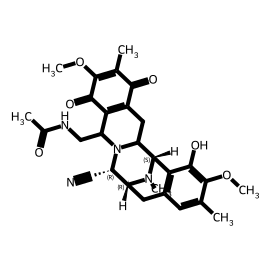 COC1=C(C)C(=O)C2=C(C1=O)C(CNC(C)=O)N1C(C2)[C@@H]2c3c(cc(C)c(OC)c3O)C[C@H]([C@@H]1C#N)N2C